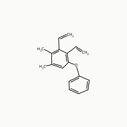 C=Cc1c(Oc2ccccc2)cc(C)c(C)c1C=C